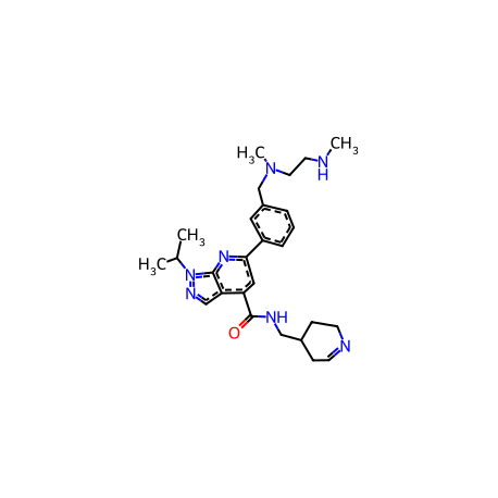 CNCCN(C)Cc1cccc(-c2cc(C(=O)NCC3CC=NCC3)c3cnn(C(C)C)c3n2)c1